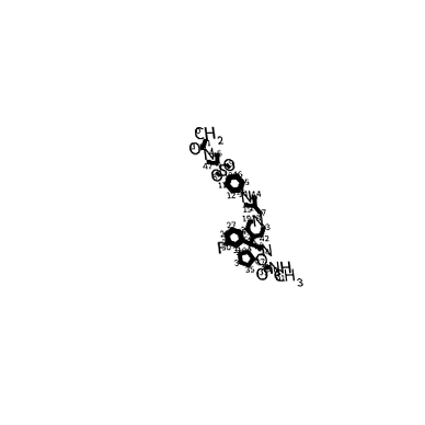 C=CC(=O)N1CC(S(=O)(=O)c2ccc(N3CC(CN4CCC(C(C#N)(c5cccc(F)c5)[C@H]5CCC[C@@H]5OC(=O)NC)CC4)C3)cc2)C1